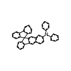 c1ccc(N(c2ccccc2)c2ccc3cc4c(cc3c2)C2(c3ccccc3-c3ccccc32)c2ccccc2-4)cc1